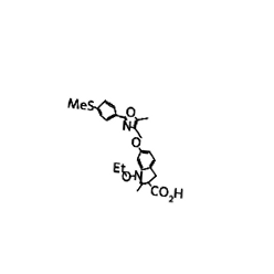 CCON=C(C)C(Cc1ccc(OCc2nc(-c3ccc(SC)cc3)oc2C)cc1)C(=O)O